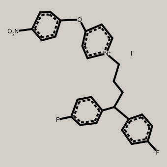 O=[N+]([O-])c1ccc(Oc2cc[n+](CCCC(c3ccc(F)cc3)c3ccc(F)cc3)cc2)cc1.[I-]